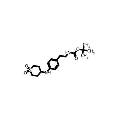 CC(C)(C)OC(=O)NCCc1ccc(NC2CCS(=O)(=O)CC2)cc1